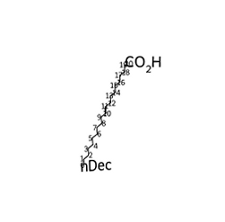 CCCCCCCCCCCCCCCCCCCC=CCCCCCCCCC(=O)O